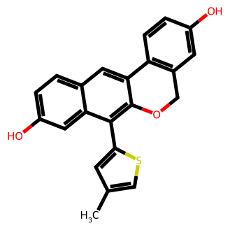 Cc1csc(-c2c3c(cc4ccc(O)cc24)-c2ccc(O)cc2CO3)c1